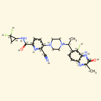 Cc1nc2ccc(C(C)N3CCN(c4ccc(C(=O)NC5CC5(F)F)nc4C#N)CC3)c(F)c2[nH]c1=O